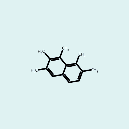 Cc1[c]c2ccc(C)c(C)c2c(C)c1C